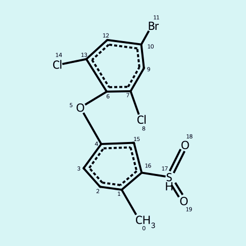 Cc1ccc(Oc2c(Cl)cc(Br)cc2Cl)cc1[SH](=O)=O